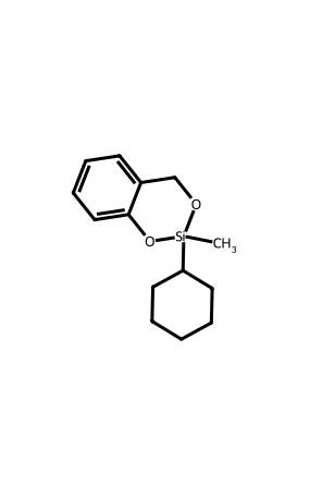 C[Si]1(C2CCCCC2)OCc2ccccc2O1